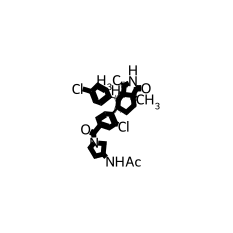 CC(=O)NC1CCN(C(=O)c2ccc([C@@H]3CC[C@@]4(C)C(=O)N[C@H](C)[C@H]4[C@H]3c3ccc(Cl)cc3)c(Cl)c2)C1